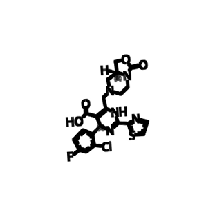 O=C(O)C1=C(CN2CCN3C(=O)OC[C@H]3C2)NC(c2nccs2)=N[C@H]1c1ccc(F)cc1Cl